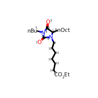 CCCCCCCCC1C(=O)N(CCCC)C(=O)N1CCCCCCC(=O)OCC